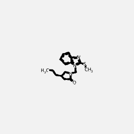 CCCC1CC(=O)N(Cn2c(SC)nc3ccccc32)C1